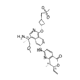 C=C[C@@H]1OC(=O)c2ccc(Nc3cc4c([C@](C)(N)COC)cnc(O[C@H]5C[C@H](CS(C)(=O)=O)C5)c4cn3)nc2[C@H]1C